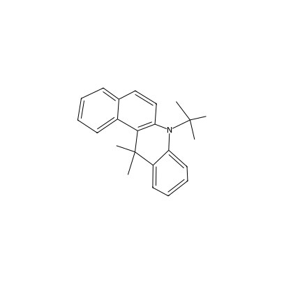 CC1(C)c2ccccc2N(C(C)(C)C)c2ccc3ccccc3c21